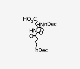 CCCCCCCCCCCCCCC(=O)C(=O)NC(CCC(=O)O)C(=O)NCCCCCCCCCC